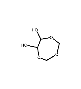 OC1OCOCOC1O